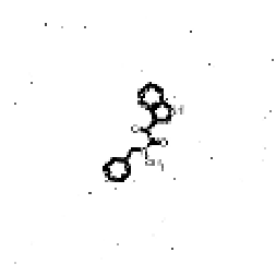 CN(Cc1ccccc1)C(=O)C(=O)C1CNc2ccccc21